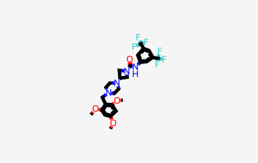 COc1cc(OC)c(CN2CCN(C3CN(C(=O)Nc4cc(C(F)(F)F)cc(C(F)(F)F)c4)C3)CC2)c(OC)c1